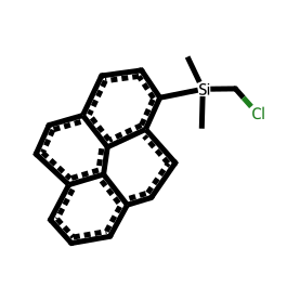 C[Si](C)(CCl)c1ccc2ccc3cccc4ccc1c2c34